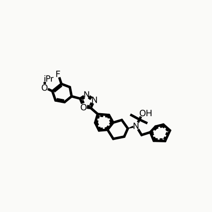 CC(C)OC1=C(F)CC(c2nnc(-c3ccc4c(c3)C[C@@H](N(Cc3ccccc3)C(C)(C)O)CC4)o2)C=C1